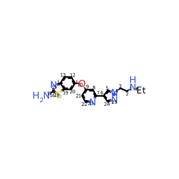 CCNCCn1cc(-c2cc(Oc3ccc4nc(N)sc4c3)ccn2)cn1